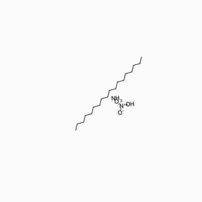 CCCCCCCCCCCCCCCCCC.N.O=[N+]([O-])O